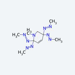 CN=NC1(N=NC)C=CC(N=NC)(N=NC)N(C)C1